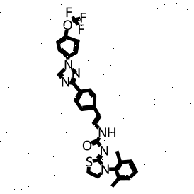 Cc1cccc(C)c1N1CCS/C1=N\C(=O)N/C=C/c1ccc(-c2ncn(-c3ccc(OC(F)(F)F)cc3)n2)cc1